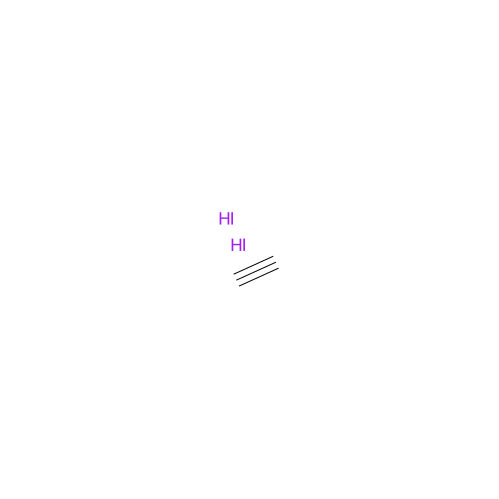 C#C.I.I